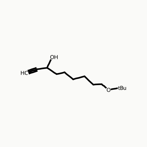 C#CC(O)CCCCCCOC(C)(C)C